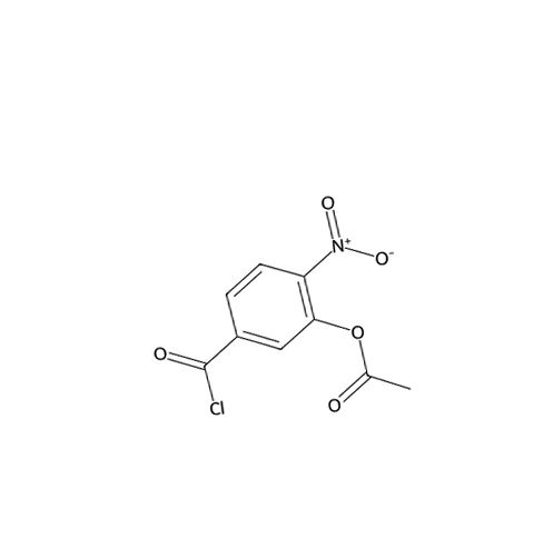 CC(=O)Oc1cc(C(=O)Cl)ccc1[N+](=O)[O-]